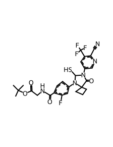 CC(C)(C)OC(=O)CNC(=O)c1ccc(N2C(S)N(c3cnc(C#N)c(C(F)(F)F)c3)C(=O)C23CCC3)cc1F